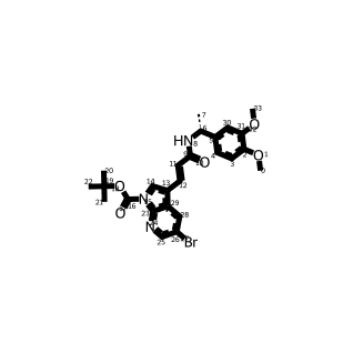 COc1ccc([C@@H](C)NC(=O)/C=C/c2cn(C(=O)OC(C)(C)C)c3ncc(Br)cc23)cc1OC